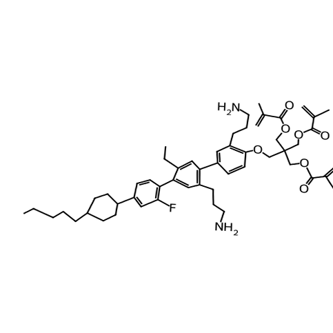 C=C(C)C(=O)OCC(COC(=O)C(=C)C)(COC(=O)C(=C)C)COc1ccc(-c2cc(CC)c(-c3ccc(C4CCC(CCCCC)CC4)cc3F)cc2CCCN)cc1CCCN